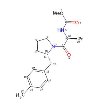 COC(=O)N[C@H](C(=O)N1CCC[C@H]1Cc1ccc(C)cc1)C(C)C